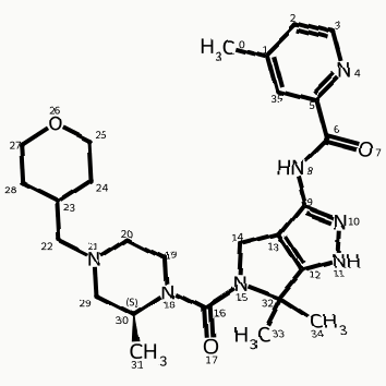 Cc1ccnc(C(=O)Nc2n[nH]c3c2CN(C(=O)N2CCN(CC4CCOCC4)C[C@@H]2C)C3(C)C)c1